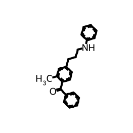 Cc1cc(CCCNc2ccccc2)ccc1C(=O)c1ccccc1